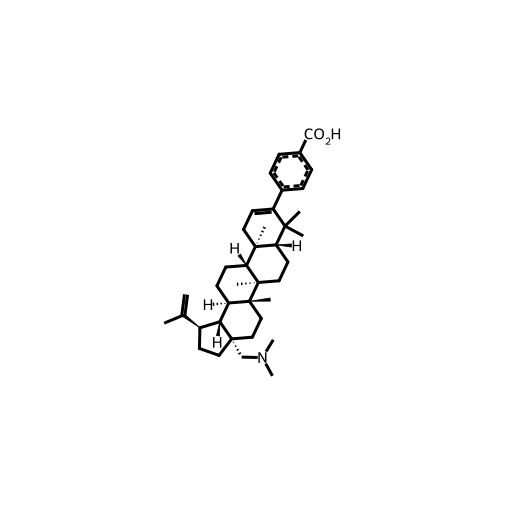 C=C(C)[C@@H]1CC[C@]2(CN(C)C)CC[C@]3(C)[C@H](CC[C@@H]4[C@@]5(C)CC=C(c6ccc(C(=O)O)cc6)C(C)(C)[C@@H]5CC[C@]43C)[C@@H]12